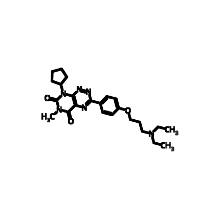 CCN(CC)CCCOc1ccc(-c2nnc3c(n2)c(=O)n(C)c(=O)n3C2CCCC2)cc1